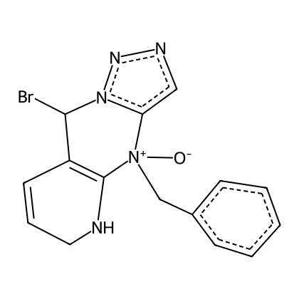 [O-][N+]1(Cc2ccccc2)C2=C(C=CCN2)C(Br)n2nncc21